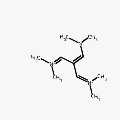 CN(C)C=C(C=[N+](C)C)C=[N+](C)C